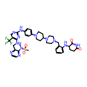 CN(c1nccnc1CNc1nc(Nc2ccc(N3CCC(N4CCN(Cc5ccccc5NC5CCC(=O)NC5=O)CC4)CC3)cc2)ncc1C(F)(F)F)S(C)(=O)=O